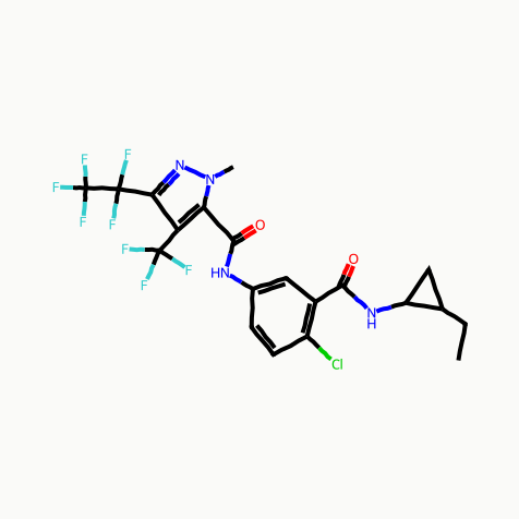 CCC1CC1NC(=O)c1cc(NC(=O)c2c(C(F)(F)F)c(C(F)(F)C(F)(F)F)nn2C)ccc1Cl